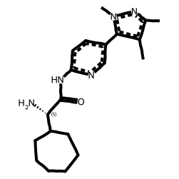 Cc1nn(C)c(-c2ccc(NC(=O)[C@@H](N)C3CCCCCC3)nc2)c1C